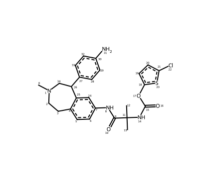 CN1CCc2ccc(NC(=O)C(C)(C)NC(=O)Oc3ccc(Cl)s3)cc2C(c2ccc(N)cc2)C1